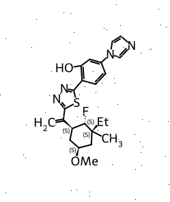 C=C(c1nnc(-c2ccc(-n3ccnc3)cc2O)s1)[C@@H]1C[C@H](OC)C[C@](C)(CC)[C@H]1F